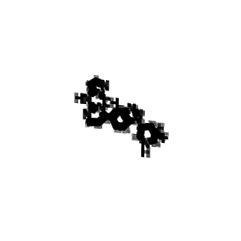 Cn1nccc1Nc1nccc(-c2ccc3c(c2)nnn3C2CNCC(F)(F)C2)n1